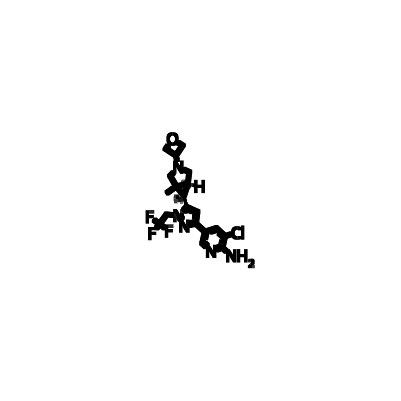 CC12CN(C3COC3)C[C@H]1[C@@H]2c1cc(-c2cnc(N)c(Cl)c2)nn1CC(F)(F)F